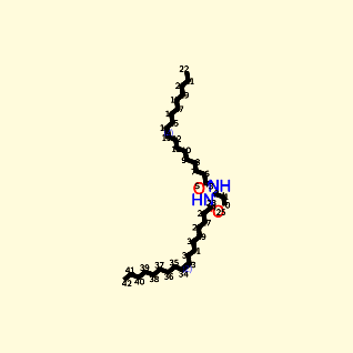 C[CH]C(NC(=O)CCCCCCC/C=C\CCCCCCCC)NC(=O)CCCCCCC/C=C\CCCCCCCC